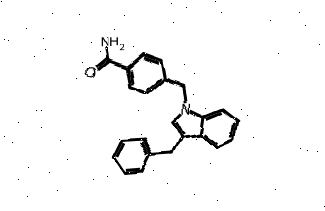 NC(=O)c1ccc(Cn2cc(Cc3ccccc3)c3ccccc32)cc1